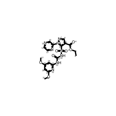 CCOC(=O)c1cnn(-c2cnccn2)c1S(=O)(=O)NC(=O)Nc1cc(OC)cc(OC)n1